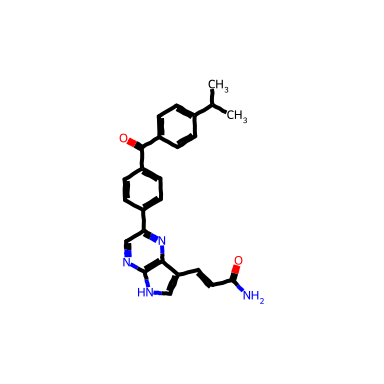 CC(C)c1ccc(C(=O)c2ccc(-c3cnc4[nH]cc(/C=C/C(N)=O)c4n3)cc2)cc1